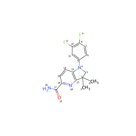 CC1(C)CN(c2ccc(F)c(F)c2)c2ccc(C(N)=O)nc21